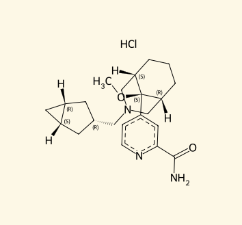 CO[C@]1(c2ccnc(C(N)=O)c2)[C@@H]2CCC[C@H]1CN(C[C@@H]1C[C@@H]3C[C@@H]3C1)C2.Cl